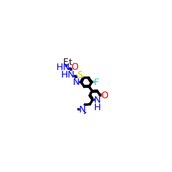 CCNC(=O)Nc1nc2cc(-c3cc(CCN(C)C)[nH]c(=O)c3)c(F)cc2s1